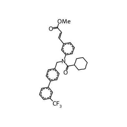 COC(=O)/C=C/c1cccc(N(Cc2ccc(-c3cccc(C(F)(F)F)c3)cc2)C(=O)C2CCCCC2)c1